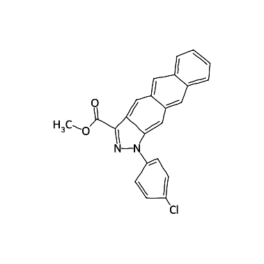 COC(=O)c1nn(-c2ccc(Cl)cc2)c2cc3cc4ccccc4cc3cc12